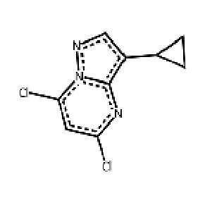 Clc1cc(Cl)n2ncc(C3CC3)c2n1